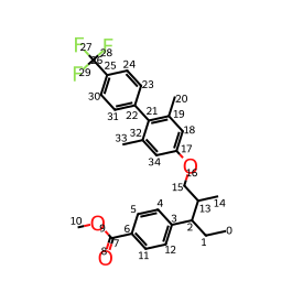 CCC(c1ccc(C(=O)OC)cc1)C(C)COc1cc(C)c(-c2ccc(C(F)(F)F)cc2)c(C)c1